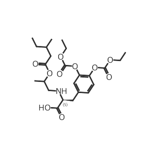 CCOC(=O)Oc1ccc(C[C@H](NCC(C)OC(=O)CC(C)CC)C(=O)O)cc1OC(=O)OCC